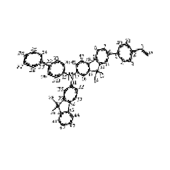 C=Cc1ccc(-c2ccc3c(c2)C(C)(C)c2cc(N(c4ccc(-c5ccccc5)cc4)c4ccc5c(c4)C(C)(C)c4ccccc4-5)ccc2-3)cc1